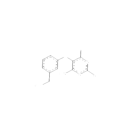 CCCCCCCCCCCc1cccc(Oc2c(N)nc(N)nc2CC)c1